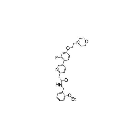 CCOc1ccccc1CNC(=O)Cc1ccc(-c2ccc(OCCN3CCOCC3)cc2F)cn1